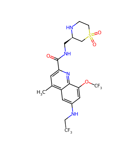 Cc1cc(C(=O)NC[C@@H]2CS(=O)(=O)CCN2)nc2c(OC(F)(F)F)cc(NCC(F)(F)F)cc12